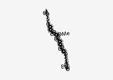 C=CC(=O)OCCCCCCOc1ccc2cc(C(=O)Oc3ccc(OC(=O)c4ccc5cc(OC(=O)c6ccc(OCCCCCCOCC7(CC)COC7)cc6)ccc5c4)c(OC)c3)ccc2c1